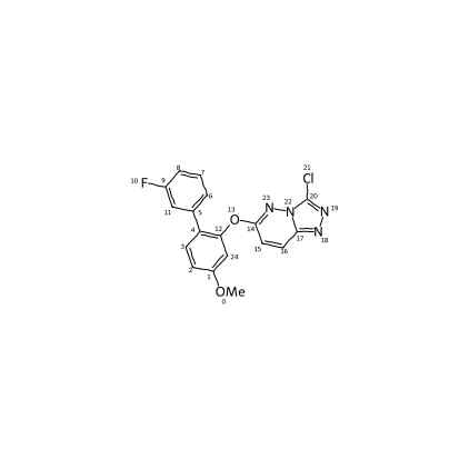 COc1ccc(-c2cccc(F)c2)c(Oc2ccc3nnc(Cl)n3n2)c1